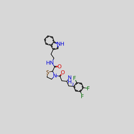 NC(CC(=O)N1CCSC1C(=O)NCCc1c[nH]c2ccccc12)Cc1cc(F)c(F)cc1F